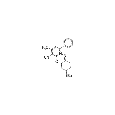 [C-]#[N+]c1c(C(F)(F)F)cc(-c2ccccc2)n(N=C2CCC(C(C)(C)C)CC2)c1=O